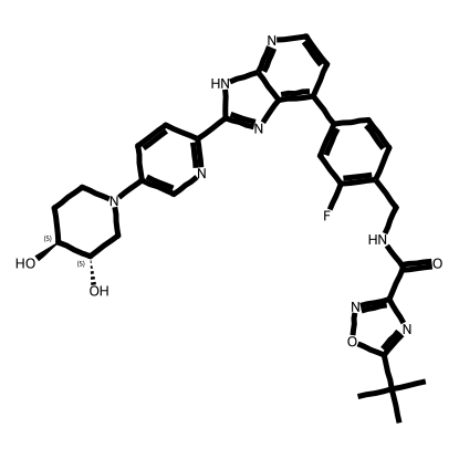 CC(C)(C)c1nc(C(=O)NCc2ccc(-c3ccnc4[nH]c(-c5ccc(N6CC[C@H](O)[C@@H](O)C6)cn5)nc34)cc2F)no1